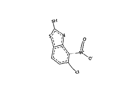 O=[N+]([O-])c1c(Cl)ccc2sc(S)nc12